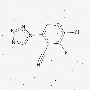 N#Cc1c(-n2cnnn2)ccc(Cl)c1F